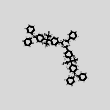 FC(F)(F)C(c1ccc(-c2nc(-c3ccccc3)nc(-c3ccc(C(c4ccc(N(c5ccccc5)c5ccccc5)cc4)(C(F)(F)F)C(F)(F)F)cc3)n2)cc1)(c1ccc(N(c2ccccc2)c2ccccc2)cc1)C(F)(F)F